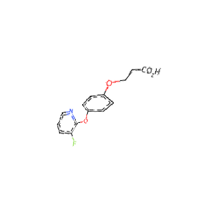 O=C(O)CCOc1ccc(Oc2ncccc2F)cc1